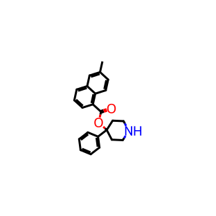 Cc1ccc2c(C(=O)OC3(c4ccccc4)CCNCC3)cccc2c1